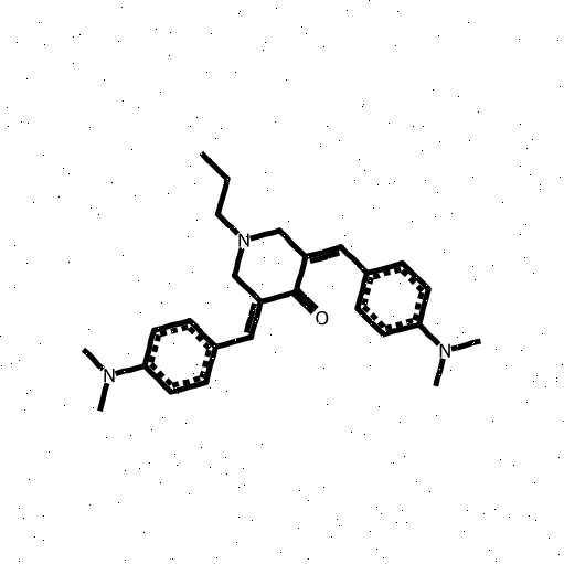 CCCN1CC(=Cc2ccc(N(C)C)cc2)C(=O)C(=Cc2ccc(N(C)C)cc2)C1